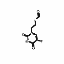 O=COCCn1cc(F)c(=O)[nH]c1=O